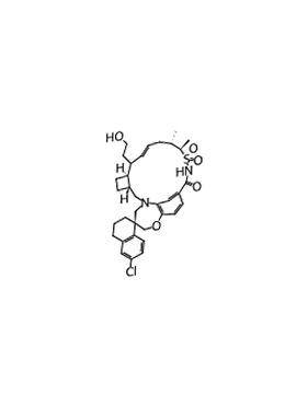 C[C@@H]1[C@@H](C)C/C=C/C(CCO)[C@@H]2CC[C@H]2CN2C[C@@]3(CCCc4cc(Cl)ccc43)COc3ccc(cc32)C(=O)NS1(=O)=O